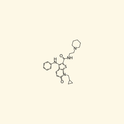 O=C(NCCN1CCCCC1)c1sc2c(ccc(=O)n2CC2CC2)c1Nc1ccccc1